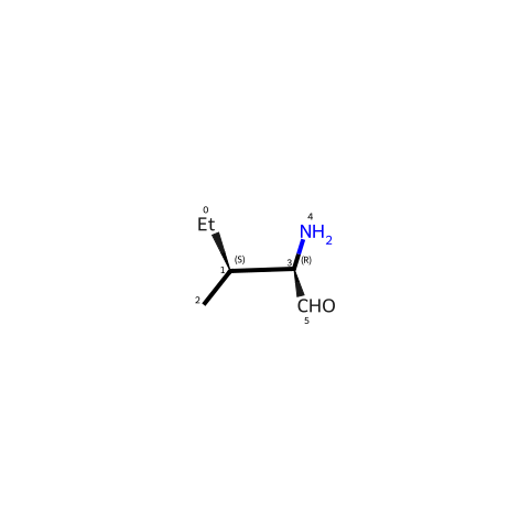 CC[C@H](C)[C@@H](N)C=O